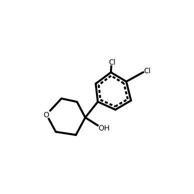 OC1(c2ccc(Cl)c(Cl)c2)CCOCC1